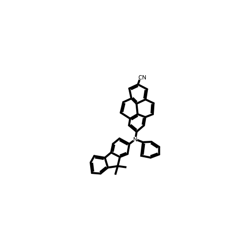 CC1(C)c2ccccc2-c2ccc(N(c3ccccc3)c3cc4ccc5cc(C#N)cc6ccc(c3)c4c56)cc21